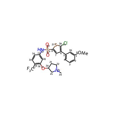 COc1cccc(-c2cc(S(=O)(=O)Nc3ccc(C(F)(F)F)c(OC4CCN(C)C4)c3)sc2Cl)c1